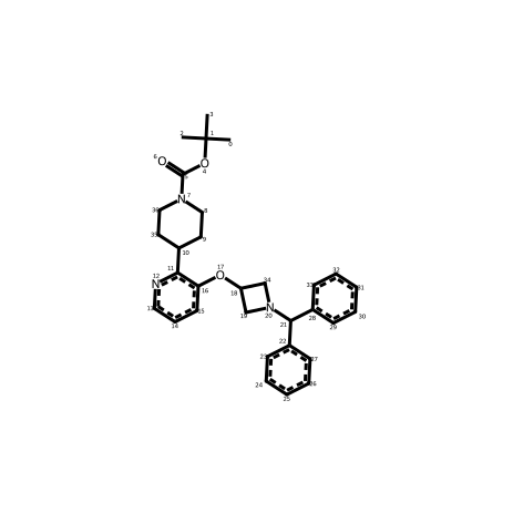 CC(C)(C)OC(=O)N1CCC(c2ncccc2OC2CN(C(c3ccccc3)c3ccccc3)C2)CC1